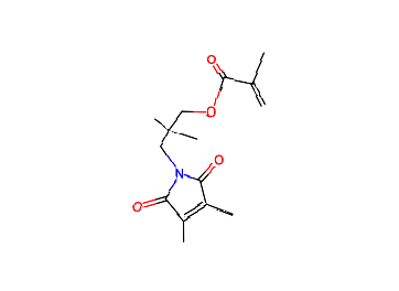 C=C(C)C(=O)OCC(C)(C)CN1C(=O)C(C)=C(C)C1=O